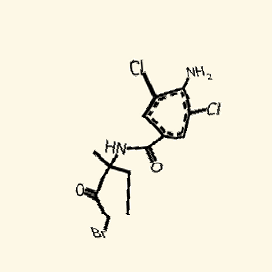 CCC(C)(NC(=O)c1cc(Cl)c(N)c(Cl)c1)C(=O)CBr